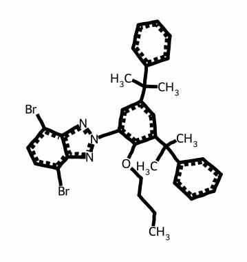 CCCCOc1c(-n2nc3c(Br)ccc(Br)c3n2)cc(C(C)(C)c2ccccc2)cc1C(C)(C)c1ccccc1